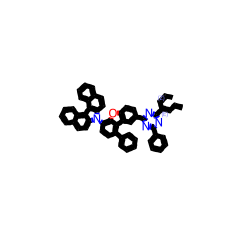 C=C/C=C(\C=C/C)c1nc(-c2ccccc2)nc(-c2ccc3oc4c(-n5c6ccc7ccccc7c6c6c7ccccc7ccc65)ccc(-c5ccccc5)c4c3c2)n1